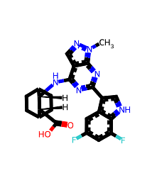 Cn1ncc2c(N[C@H]3C4CCC(CC4)[C@H]3C(=O)O)nc(-c3c[nH]c4c(F)cc(F)cc34)nc21